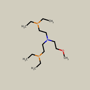 CCP(CC)CCN(CCOC)CCP(CC)CC